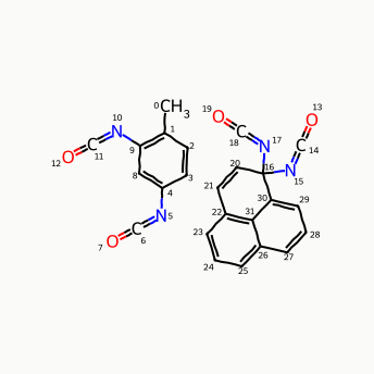 Cc1ccc(N=C=O)cc1N=C=O.O=C=NC1(N=C=O)C=Cc2cccc3cccc1c23